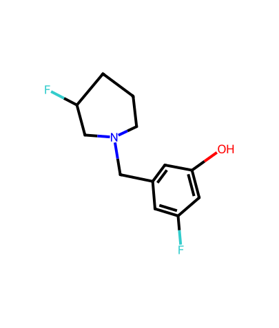 Oc1cc(F)cc(CN2CCCC(F)C2)c1